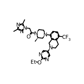 CCOc1ncc(N2CCc3c(C(F)(F)F)ccc(N4CCN(C(=O)Cn5nc(C)nc5C)[C@H](C)C4)c3C2)cn1